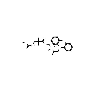 CC(CN1c2ccccc2Sc2ccccc21)[N+](C)(C)COC(=O)C(C)(C)CNC(=O)OC(C)(C)C